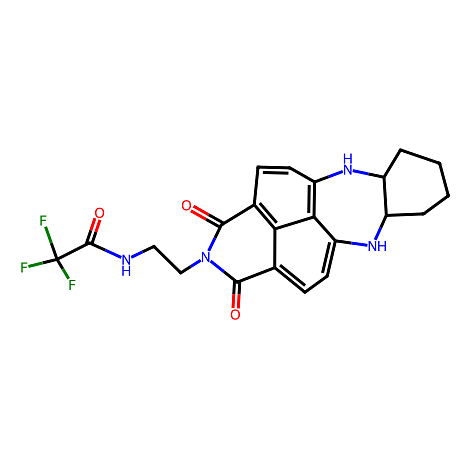 O=C1c2ccc3c4c(ccc(c24)C(=O)N1CCNC(=O)C(F)(F)F)NC1CCCCC1N3